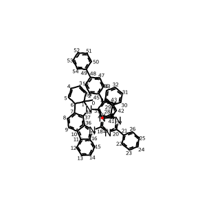 CC12C=CC=CC1c1ccc3c4ccccc4n(-c4nc(-c5ccccc5)nc(-c5ccccc5)n4)c3c1N2c1ccccc1-c1ccc(-c2ccccc2)cc1